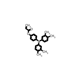 C=CC(=O)Oc1ccc(N(c2ccc(C)c(C)c2)c2ccc(C)c(C)c2)cc1